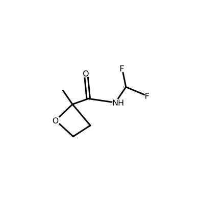 CC1(C(=O)N[C](F)F)CCO1